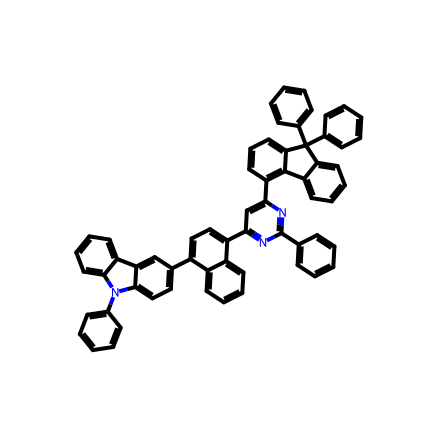 c1ccc(-c2nc(-c3cccc4c3-c3ccccc3C4(c3ccccc3)c3ccccc3)cc(-c3ccc(-c4ccc5c(c4)c4ccccc4n5-c4ccccc4)c4ccccc34)n2)cc1